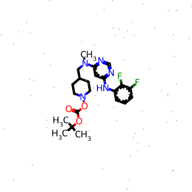 CN(CC1CCN(OC(=O)OC(C)(C)C)CC1)c1cc(Nc2cccc(F)c2F)ncn1